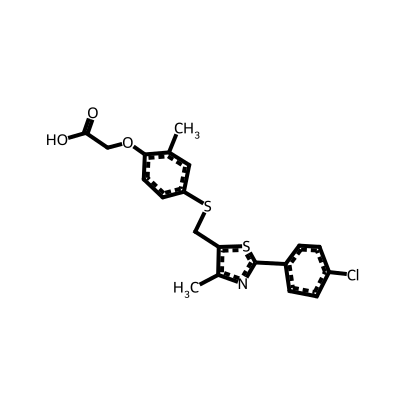 Cc1cc(SCc2sc(-c3ccc(Cl)cc3)nc2C)ccc1OCC(=O)O